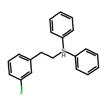 Fc1cccc(CC[SiH](c2ccccc2)c2ccccc2)c1